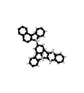 c1ccc2c(c1)ccc1c2c2ccccc2n1-c1cc2c3ccccc3n3c4nc5ccccc5nc4c(c1)c23